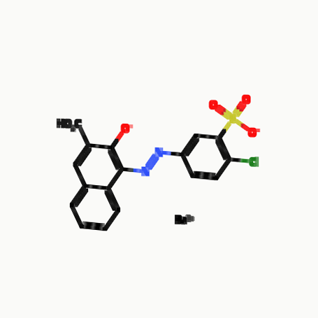 O=C(O)c1cc2ccccc2c(N=Nc2ccc(Cl)c(S(=O)(=O)[O-])c2)c1[O-].[Ba+2]